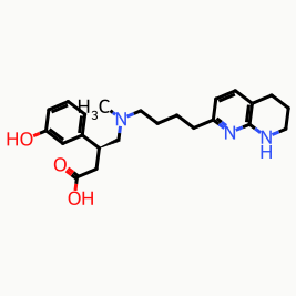 CN(CCCCc1ccc2c(n1)NCCC2)C[C@@H](CC(=O)O)c1cccc(O)c1